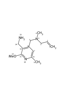 C=CCN(C)Cc1cc(C)nc(OC)c1CN